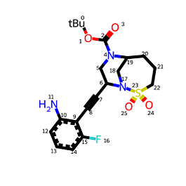 CC(C)(C)OC(=O)N1CC(C#Cc2c(N)cccc2F)N2CC1CCCS2(=O)=O